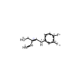 N=N/C(=C\Nc1ccc(F)c(F)c1)CO